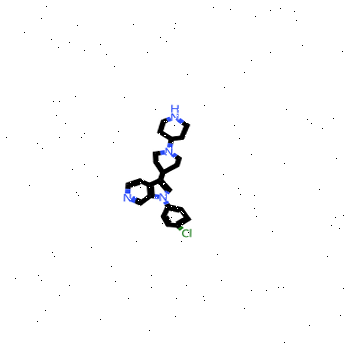 Clc1ccc(-n2cc(C3CCN(C4CCNCC4)CC3)c3ccncc32)cc1